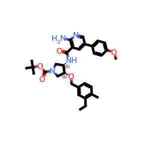 CCc1cc(CO[C@H]2CN(C(=O)OC(C)(C)C)C[C@@H]2NC(=O)c2cc(-c3ccc(OC)cc3)cnc2N)ccc1C